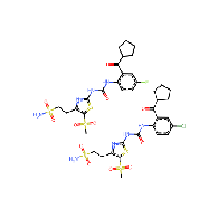 CS(=O)(=O)c1sc(NC(=O)Nc2ccc(Cl)cc2C(=O)C2CCCC2)nc1CCS(N)(=O)=O.CS(=O)(=O)c1sc(NC(=O)Nc2ccc(F)cc2C(=O)C2CCCC2)nc1CCS(N)(=O)=O